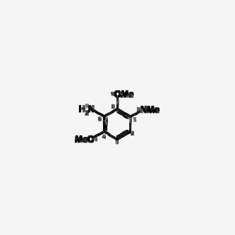 CNc1ccc(OC)c(N)c1OC